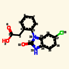 O=C(O)Cc1ccccc1-n1c(=O)[nH]c2ccc(Cl)cc21